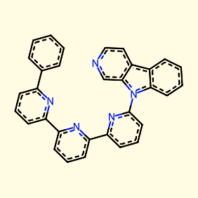 c1ccc(-c2cccc(-c3cccc(-c4cccc(-n5c6ccccc6c6ccncc65)n4)n3)n2)cc1